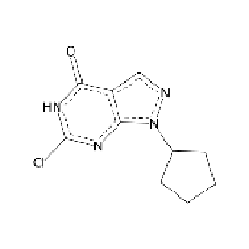 O=c1[nH]c(Cl)nc2c1cnn2C1CCCC1